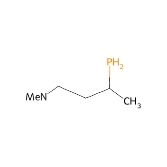 CNCCC(C)P